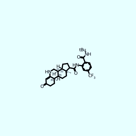 CC(C)(C)NC(=O)c1ccc(C(F)(F)F)cc1NC(=O)C1CC[C@H]2[C@@H]3CNC4=CC(=O)CC[C@]4(C)[C@@H]3CC[C@]12C